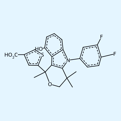 CC1(C)COC(C)(c2cc(C(=O)O)cs2)c2c1n(-c1ccc(F)c(F)c1)c1cccc(O)c21